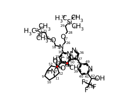 CC(C)(C)OC(=O)N1C2CCC1CC(c1cc(N(COCC[Si](C)(C)C)COCC[Si](C)(C)C)n3ncc(-c4ccc(C(O)C(F)(F)F)nc4)c3n1)C2